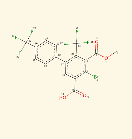 COC(=O)c1c(Br)c(C(=O)O)cc(-c2ccc(C(F)(F)F)cc2)c1C(F)(F)F